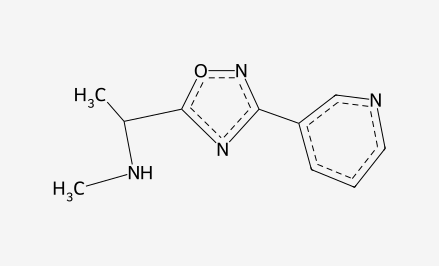 CNC(C)c1nc(-c2cccnc2)no1